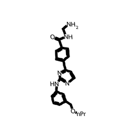 CCCOCc1cccc(Nc2nccc(-c3ccc(C(=O)NCN)cc3)n2)c1